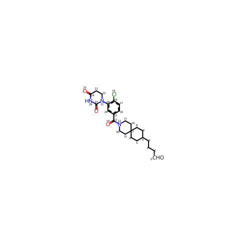 O=CCCCC1CCC2(CC1)CCN(C(=O)c1ccc(Cl)c(N3CCC(=O)NC3=O)c1)CC2